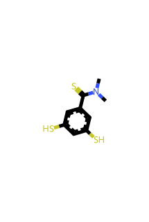 CN(C)C(=S)c1cc(S)cc(S)c1